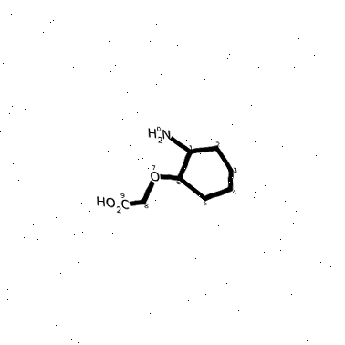 NC1CCCCC1OCC(=O)O